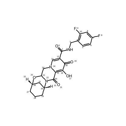 O=C(NCc1ccc(F)cc1F)c1cn2c(c(O)c1=O)C(=O)N1C(C2)O[C@H]2CCC[C@@H]1C2